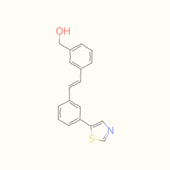 OCc1cccc(/C=C/c2cccc(-c3cncs3)c2)c1